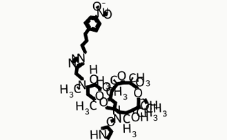 CC[C@H]1OC(=O)[C@H](C)C(=O)[C@H](C)[C@@H](O[C@@H]2O[C@H](C)C[C@H](N(C)CCc3cn(CCCCc4ccc([N+](=O)[O-])cc4)nn3)[C@H]2O)[C@@]2(C)C[C@@H](CO2)/C(=N\O[C@@H]2CCNC2)[C@H](C)[C@@H](O)[C@]1(C)O